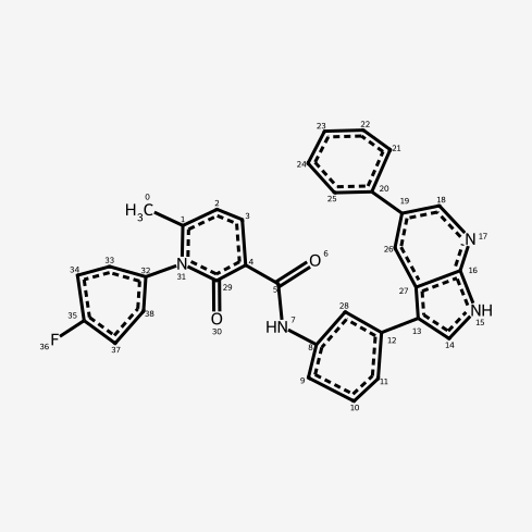 Cc1ccc(C(=O)Nc2cccc(-c3c[nH]c4ncc(-c5ccccc5)cc34)c2)c(=O)n1-c1ccc(F)cc1